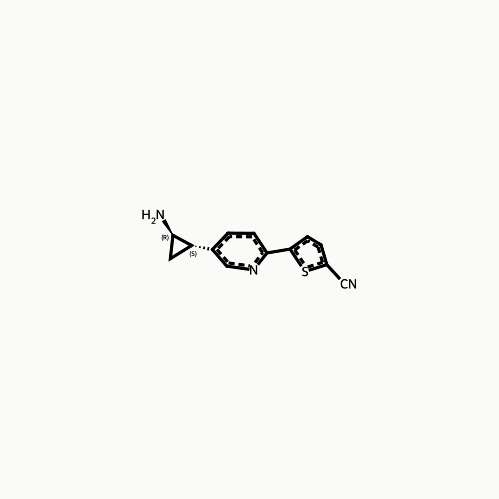 N#Cc1ccc(-c2ccc([C@@H]3C[C@H]3N)cn2)s1